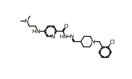 CN(C)CCNc1ccc(C(=O)NN=CC2CCN(Cc3ccccc3Cl)CC2)nc1